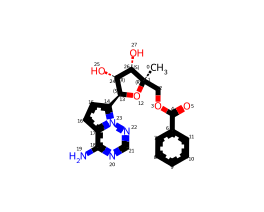 C[C@]1(COC(=O)c2ccccc2)O[C@@H](c2ccc3c(N)ncnn23)[C@H](O)[C@@H]1O